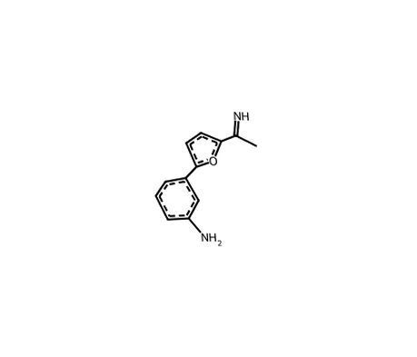 CC(=N)c1ccc(-c2cccc(N)c2)o1